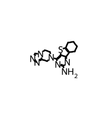 Nc1nc(N2CCn3cnnc3C2)c2sc3c(c2n1)CCCC3